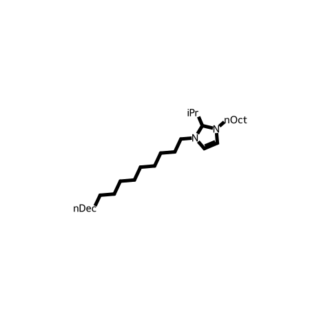 CCCCCCCCCCCCCCCCCCCN1C=CN(CCCCCCCC)C1C(C)C